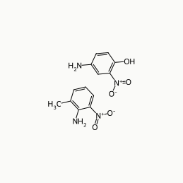 Cc1cccc([N+](=O)[O-])c1N.Nc1ccc(O)c([N+](=O)[O-])c1